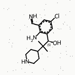 CC(C)(C1CCNCC1)[C@H](O)c1cc(Cl)cc(C=N)c1N